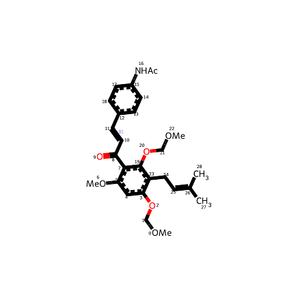 COCOc1cc(OC)c(C(=O)/C=C/c2ccc(NC(C)=O)cc2)c(OCOC)c1CC=C(C)C